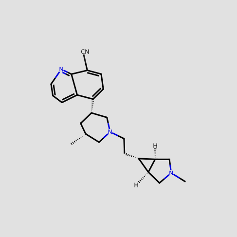 C[C@@H]1C[C@H](c2ccc(C#N)c3ncccc23)CN(CC[C@@H]2[C@H]3CN(C)C[C@@H]23)C1